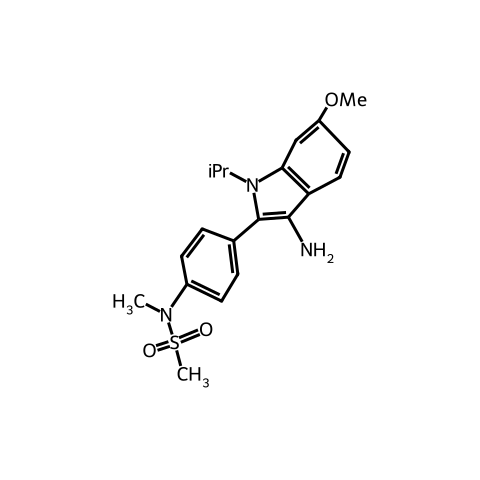 COc1ccc2c(N)c(-c3ccc(N(C)S(C)(=O)=O)cc3)n(C(C)C)c2c1